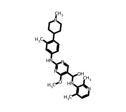 COc1nc(Nc2ccc(C3CCN(C)CC3)c(C)c2)ncc1C(O)Nc1c(C)ccnc1C